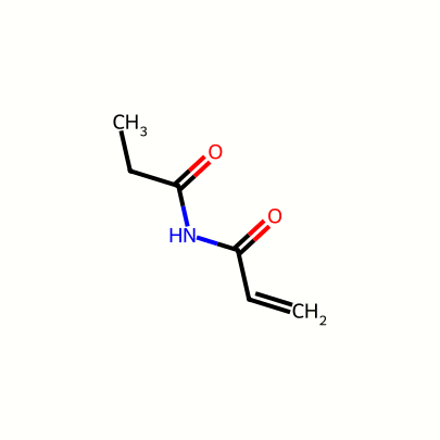 C=CC(=O)NC(=O)CC